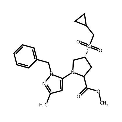 COC(=O)C1C[C@@H](S(=O)(=O)CC2CC2)CN1c1cc(C)nn1Cc1ccccc1